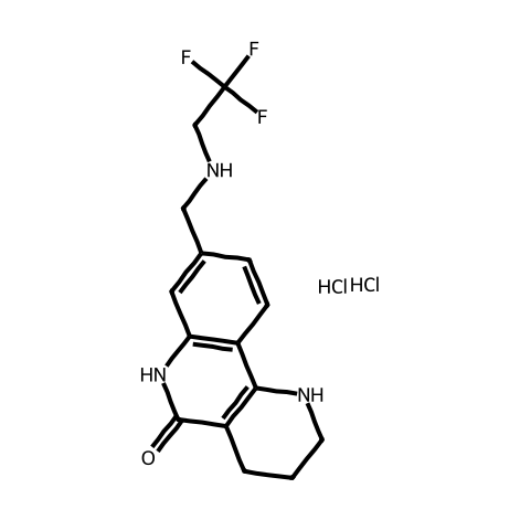 Cl.Cl.O=c1[nH]c2cc(CNCC(F)(F)F)ccc2c2c1CCCN2